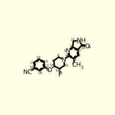 Cc1cc2c(nc1N1CC[C@H](Oc3cccc(C#N)c3)[C@H](F)C1)CNC2=O